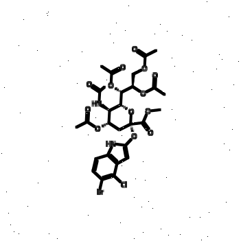 COC(=O)[C@@]1(Oc2cc3c(Cl)c(Br)ccc3[nH]2)C[C@H](OC(C)=O)[C@@H](NC(C)=O)[C@H]([C@H](OC(C)=O)[C@@H](COC(C)=O)OC(C)=O)O1